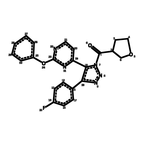 O=C(C1CCOC1)n1nnc(-c2ccc(F)cc2)c1-c1ccnc(Oc2ccccc2)n1